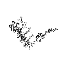 CCCCCCC(C)[PH](=O)[O-].CCCCCCC(C)[PH](=O)[O-].CCCCCCC(C)[PH](=O)[O-].CCCCCCC(C)[PH](=O)[O-].CCCCCCC(C)[PH](=O)[O-].CCCCCCC(C)[PH](=O)[O-].[Mo+6]